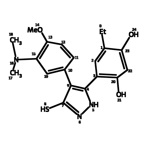 CCc1cc(-c2[nH]nc(S)c2-c2ccc(OC)c(N(C)C)c2)c(O)cc1O